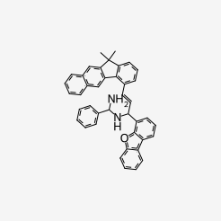 CC1(C)c2cc3ccccc3cc2-c2c(/C=C/C(NC(N)c3ccccc3)c3cccc4c3oc3ccccc34)cccc21